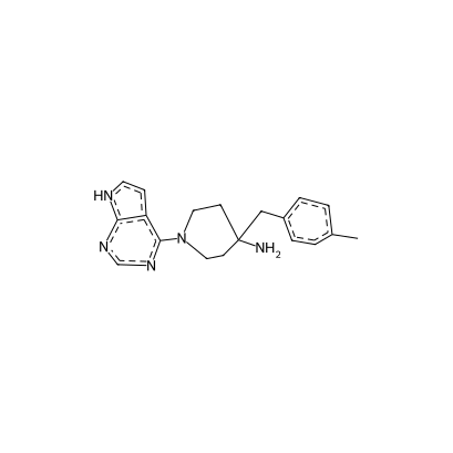 Cc1ccc(CC2(N)CCN(c3ncnc4[nH]ccc34)CC2)cc1